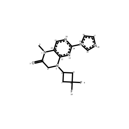 CN1C(=O)CN(C2CC(F)(F)C2)c2nc(-n3ccnc3)ncc21